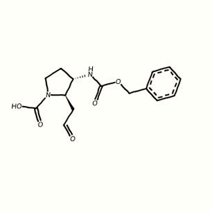 O=CC[C@@H]1[C@@H](NC(=O)OCc2ccccc2)CCN1C(=O)O